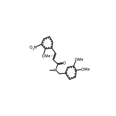 COc1ccc(CN(C)C(=O)/C=C/c2cccc([N+](=O)[O-])c2OC)cc1OC